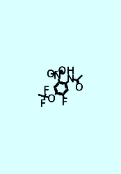 CC(=O)Nc1cc(F)c(OC(C)(F)F)cc1[N+](=O)[O-]